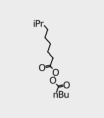 CCCCC(=O)OOC(=O)CCCCCC(C)C